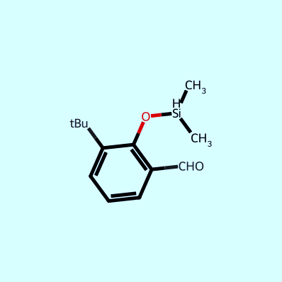 C[SiH](C)Oc1c(C=O)cccc1C(C)(C)C